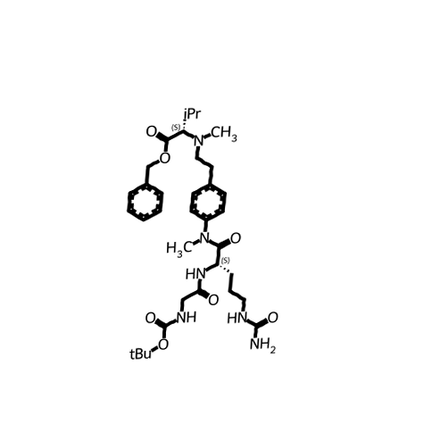 CC(C)[C@@H](C(=O)OCc1ccccc1)N(C)CCc1ccc(N(C)C(=O)[C@H](CCCNC(N)=O)NC(=O)CNC(=O)OC(C)(C)C)cc1